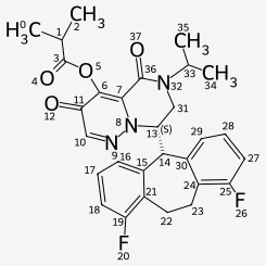 CC(C)C(=O)Oc1c2n(ncc1=O)[C@@H](C1c3cccc(F)c3CCc3c(F)cccc31)CN(C(C)C)C2=O